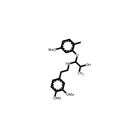 COc1ccc(I)c(OC(NCCc2ccc(OC)c(OC)c2)C(C)O)c1